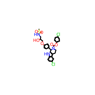 CS(=O)(=O)NCC(O)COc1ccc(C2c3[nH]c4ccc(Cl)cc4c3CCN2C(=O)Oc2ccc(Cl)cc2)cc1